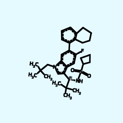 CC(C)(C)Cn1cc([C@H](NS(=O)(=O)C2CCC2)C(C)(C)C)c2cc(F)c(-c3cccc4c3CCCC4)cc21